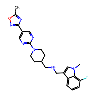 Cn1cc(CNCC2CCN(c3ncc(-c4noc(C(F)(F)F)n4)cn3)CC2)c2cccc(F)c21